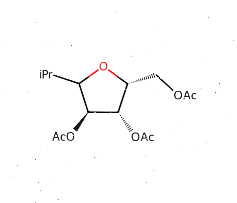 CC(=O)OC[C@H]1OC(C(C)C)[C@H](OC(C)=O)[C@H]1OC(C)=O